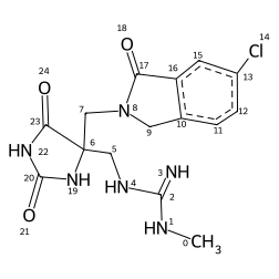 CNC(=N)NCC1(CN2Cc3ccc(Cl)cc3C2=O)NC(=O)NC1=O